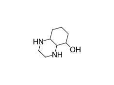 OC1CCCC2NCCNC12